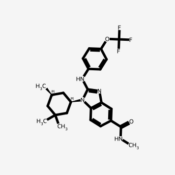 CNC(=O)c1ccc2c(c1)nc(Nc1ccc(OC(F)(F)F)cc1)n2[C@@H]1C[C@H](C)CC(C)(C)C1